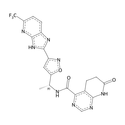 C[C@@H](NC(=O)c1ncnc2c1CCC(=O)N2)c1cc(-c2nc3ccc(C(F)(F)F)nc3[nH]2)no1